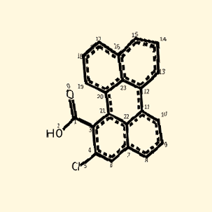 O=C(O)c1c(Cl)cc2cccc3c4cccc5cccc(c1c23)c54